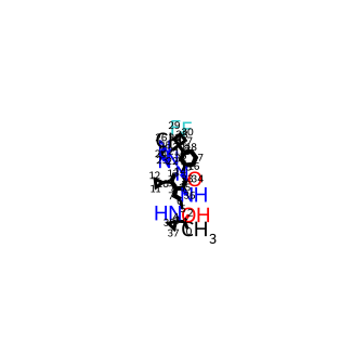 CC(O)C1(NCc2cc3c(C4CC4)cn(-c4cccc(C5(c6nncn6C)CC(F)(F)C5)c4)c(=O)c3[nH]2)CC1